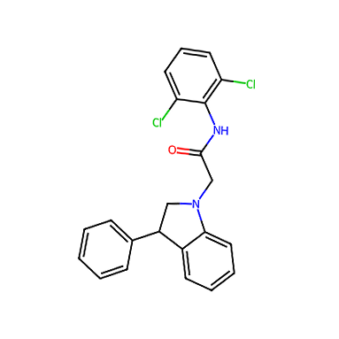 O=C(CN1CC(c2ccccc2)c2ccccc21)Nc1c(Cl)cccc1Cl